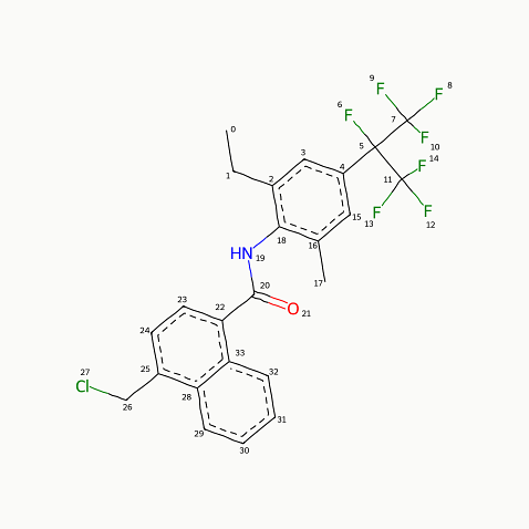 CCc1cc(C(F)(C(F)(F)F)C(F)(F)F)cc(C)c1NC(=O)c1ccc(CCl)c2ccccc12